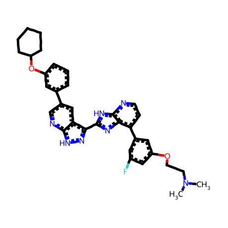 CN(C)CCOc1cc(F)cc(-c2ccnc3[nH]c(-c4n[nH]c5ncc(-c6cccc(OC7CCCCC7)c6)cc45)nc23)c1